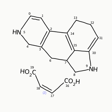 C1=CC2=C(CN1)CC1CNC3=CCCC2=C31.O=C(O)/C=C\C(=O)O